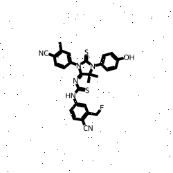 Cc1cc(N2C(=S)N(c3ccc(O)cc3)C(C)(C)/C2=N\C(=S)Nc2ccc(C#N)c(CF)c2)ccc1C#N